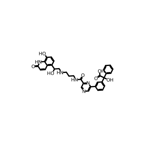 O=C(NCCCNCC(O)c1ccc(O)c2[nH]c(=O)ccc12)c1cncc(-c2cccc(C(O)(C(=O)O)c3ccccc3)c2)n1